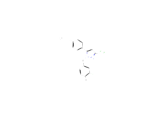 COc1ccc(-c2cc(C(=O)O)nn2Cc2ccc(C)c(Cl)c2)cc1.Cl